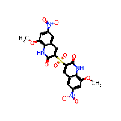 COc1cc([N+](=O)[O-])cc2cc(S(=O)(=O)c3cc4cc([N+](=O)[O-])cc(OC)c4[nH]c3=O)c(=O)[nH]c12